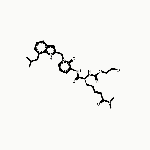 CC(C)Cc1cccc2cc(Cn3cccc(NC(=O)[C@H](CC/C=C/C(=O)N(C)C)NC(=O)OCCO)c3=O)[nH]c12